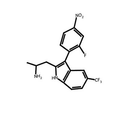 CC(N)Cc1[nH]c2ccc(C(F)(F)F)cc2c1-c1ccc([N+](=O)[O-])cc1F